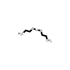 CCC[O][La][O]CCC